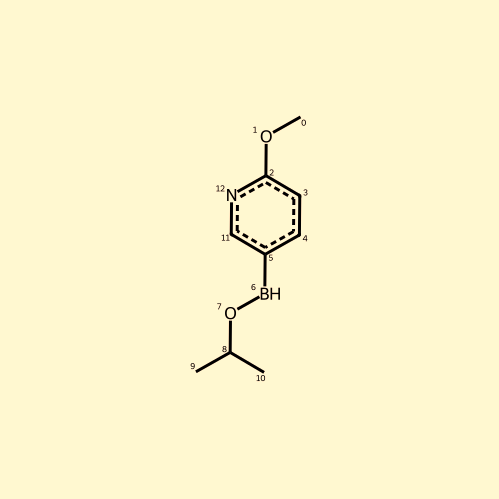 COc1ccc(BOC(C)C)cn1